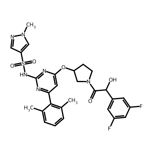 Cc1cccc(C)c1-c1cc(OC2CCN(C(=O)C(O)c3cc(F)cc(F)c3)C2)nc(NS(=O)(=O)c2cnn(C)c2)n1